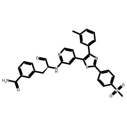 Cc1cccc(-c2nc(-c3ccc(S(C)(=O)=O)cc3)sc2-c2ccnc(N[C@H](C=O)Cc3cccc(C(N)=O)c3)c2)c1